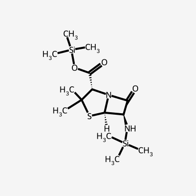 CC1(C)S[C@@H]2[C@H](N[Si](C)(C)C)C(=O)N2[C@H]1C(=O)O[Si](C)(C)C